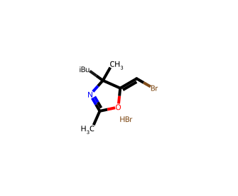 Br.CCC(C)C1(C)N=C(C)OC1=CBr